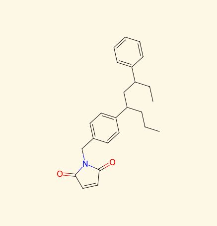 CCCC(CC(CC)c1ccccc1)c1ccc(CN2C(=O)C=CC2=O)cc1